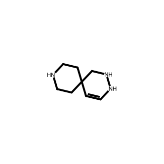 C1=CC2(CCNCC2)CNN1